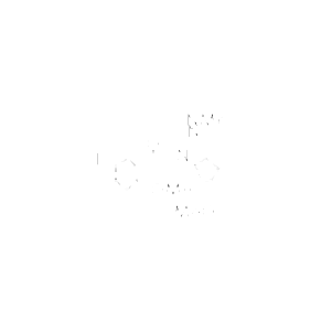 CNN1Cc2c(sc(COC)c2C)N(CC(=O)c2cc(F)ccc2OC)C1